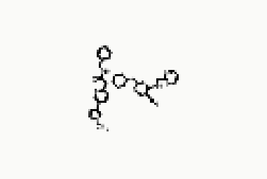 Cn1cc(-c2ccc(C(C(=O)NCc3ccccc3)[C@H]3CC[C@H](Cc4ncc(C#N)c(NCc5ncccn5)n4)CC3)nc2)cn1